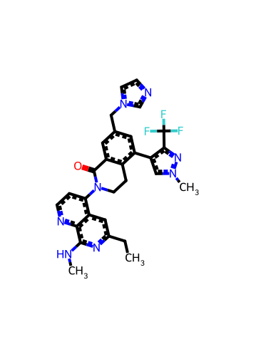 CCc1cc2c(N3CCc4c(cc(Cn5ccnc5)cc4-c4cn(C)nc4C(F)(F)F)C3=O)ccnc2c(NC)n1